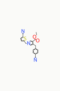 CCOC(=O)c1cn(Cc2ccc(C#N)s2)cc1Cc1ccc(C#N)cc1